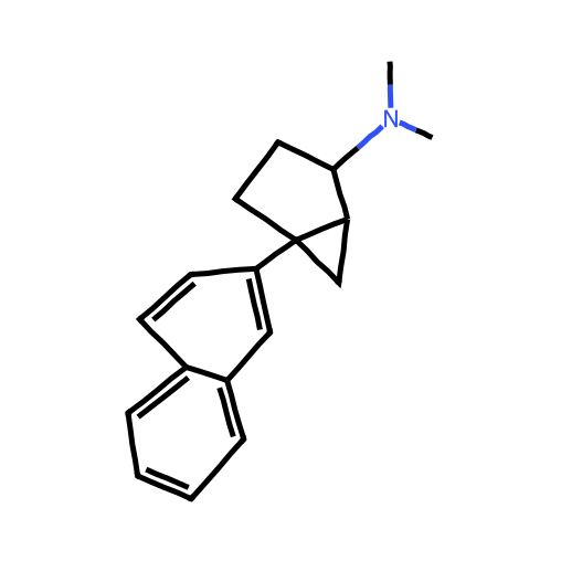 CN(C)C1CCC2(c3ccc4ccccc4c3)CC12